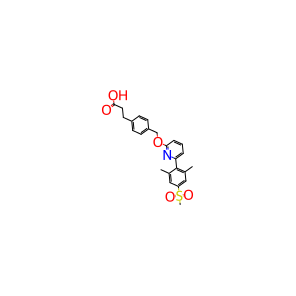 Cc1cc(S(C)(=O)=O)cc(C)c1-c1cccc(OCc2ccc(CCC(=O)O)cc2)n1